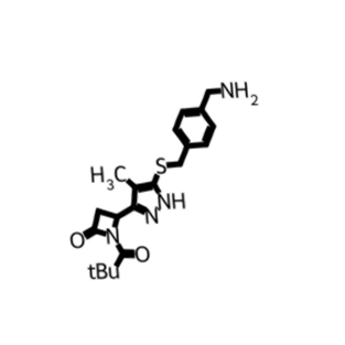 Cc1c(C2CC(=O)N2C(=O)C(C)(C)C)n[nH]c1SCc1ccc(CN)cc1